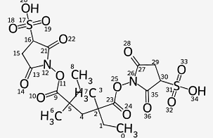 CCC(C)(CC(C)(CC)C(=O)ON1C(=O)CC(S(=O)(=O)O)C1=O)C(=O)ON1C(=O)CC(S(=O)(=O)O)C1=O